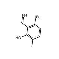 CCC(C)c1ccc(C)c(O)c1C=P